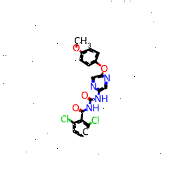 COc1ccc(Oc2cnc(NC(=O)NC(=O)c3c(Cl)cccc3Cl)cn2)cc1